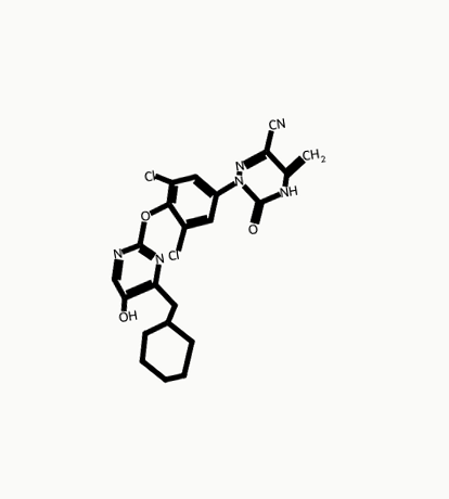 C=C1NC(=O)N(c2cc(Cl)c(Oc3ncc(O)c(CC4CCCCC4)n3)c(Cl)c2)N=C1C#N